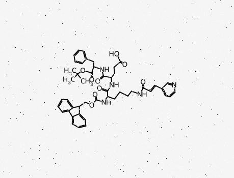 CC(C)(C)OC(=O)C(Cc1ccccc1)NC(=O)C(CCC(=O)O)NC(=O)C(CCCCNC(=O)/C=C/c1cccnc1)NC(=O)OCC1c2ccccc2-c2ccccc21